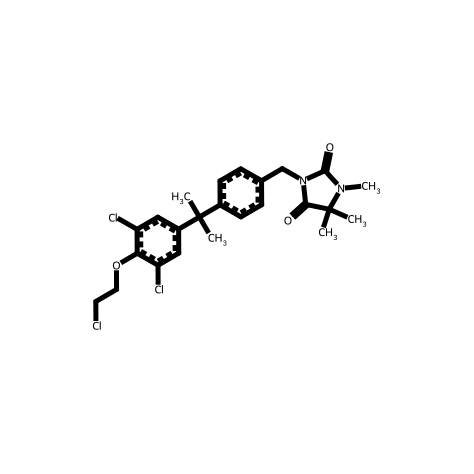 CN1C(=O)N(Cc2ccc(C(C)(C)c3cc(Cl)c(OCCCl)c(Cl)c3)cc2)C(=O)C1(C)C